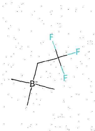 C[B-](C)(C)CC(F)(F)F